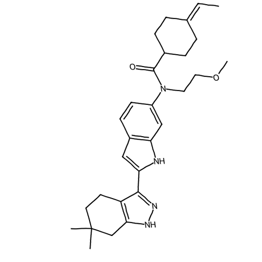 CC=C1CCC(C(=O)N(CCOC)c2ccc3cc(-c4n[nH]c5c4CCC(C)(C)C5)[nH]c3c2)CC1